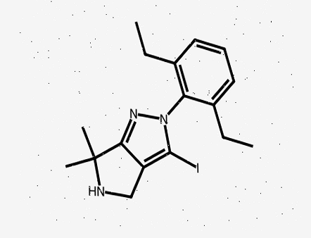 CCc1cccc(CC)c1-n1nc2c(c1I)CNC2(C)C